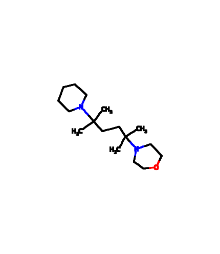 CC(C)(CCC(C)(C)N1CCOCC1)N1CCCCC1